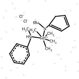 C[SiH](c1ccccc1)[Hf+2]([CH3])([CH3])([CH3])([CH3])[N](C1=CC=CC1)C(C)(C)C.[Cl-].[Cl-]